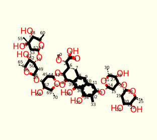 CO[C@H](C(=O)O)[C@@H]1Cc2cc3cc(O[C@H]4C[C@@H](O[C@H]5C[C@@H](O)[C@H](O)[C@@H](C)O5)[C@H](O)[C@@H](C)O4)c(C)c(O)c3c(O)c2C(=O)[C@H]1O[C@H]1C[C@@H](O[C@H]2C[C@@H](O[C@H]3C[C@](C)(O)[C@H](O)[C@@H](C)O3)[C@@H](O)[C@@H](C)O2)[C@H](O)[C@@H](C)O1